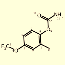 Cc1cc(OC(F)(F)F)ccc1OC(N)=O